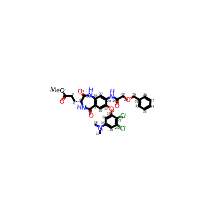 COC(=O)CC[C@H]1NC(=O)c2cc(Oc3cc(N(C)C)cc(Cl)c3Cl)c(NC(=O)COCc3ccccc3)cc2NC1=O